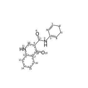 O=C(NC1=CCCC=C1)c1c[nH]c2ccccc2c1=O